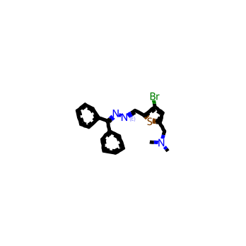 CN(C)Cc1cc(Br)c(/C=N/N=C(c2ccccc2)c2ccccc2)s1